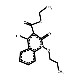 CCCOn1c(=O)c(C(=O)OCC)c(O)c2ccccc21